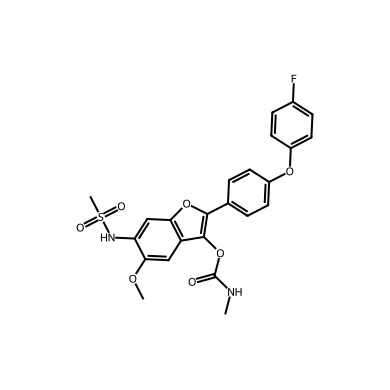 CNC(=O)Oc1c(-c2ccc(Oc3ccc(F)cc3)cc2)oc2cc(NS(C)(=O)=O)c(OC)cc12